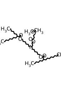 CCCCCCCCC(CCCCCC)C(=O)OCCCCCCN(CCCCCCOC(=O)C(CCCCCC)CCCCCCCC)CCOC(=O)CCCN(C)C